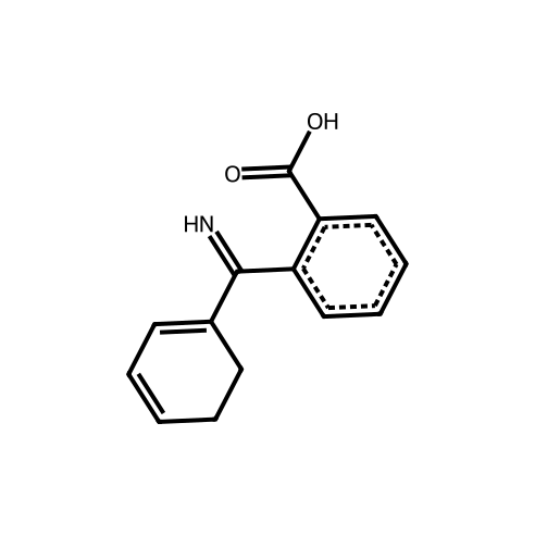 N=C(C1=CC=CCC1)c1ccccc1C(=O)O